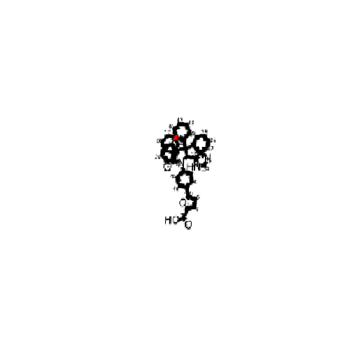 O=C(O)c1ccc(-c2ccc(N(C(=O)C3CCCCC3)C(c3cnc[nH]3)C(c3ccccc3)(c3ccccc3)c3ccccc3)cc2)o1